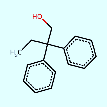 CCC(CO)(c1ccccc1)c1ccccc1